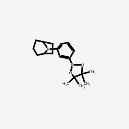 CC1(C)OB(c2cccc(N3C4CCCC3CC4)c2)OC1(C)C